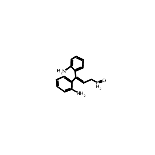 Nc1ccccc1C(=CC[PH2]=O)c1ccccc1N